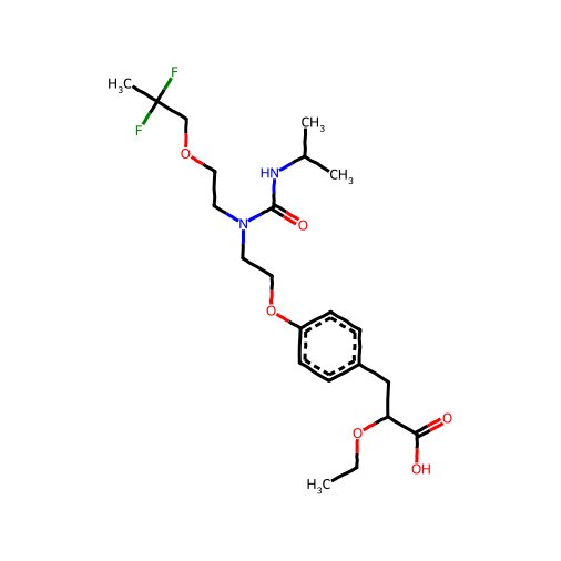 CCOC(Cc1ccc(OCCN(CCOCC(C)(F)F)C(=O)NC(C)C)cc1)C(=O)O